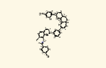 C/C(=N\c1c(C)ccc2ccc(-c3cccc(-c4ccc5ccc6ccc(-c7ccc(Br)cc7)nc6c5n4)c3)nc12)c1ccc(Br)cc1